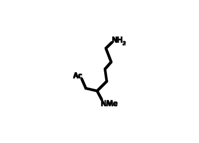 CNC(CCCCN)CC(C)=O